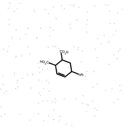 CCCC1C=CC(C(=O)O)C(C(=O)O)C1